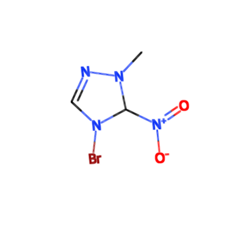 CN1N=CN(Br)C1[N+](=O)[O-]